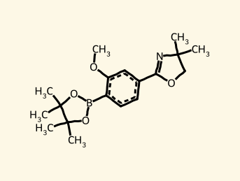 COc1cc(C2=NC(C)(C)CO2)ccc1B1OC(C)(C)C(C)(C)O1